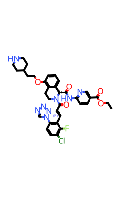 CCOC(=O)c1ccc(NC(=O)[C@@H]2c3cccc(OCCC4CCNCC4)c3CCN2C(=O)/C=C/c2c(-n3cnnn3)ccc(Cl)c2F)nc1